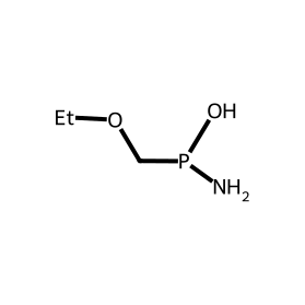 CCOCP(N)O